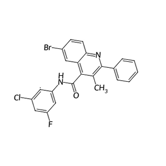 Cc1c(-c2ccccc2)nc2ccc(Br)cc2c1C(=O)Nc1[c]c(Cl)cc(F)c1